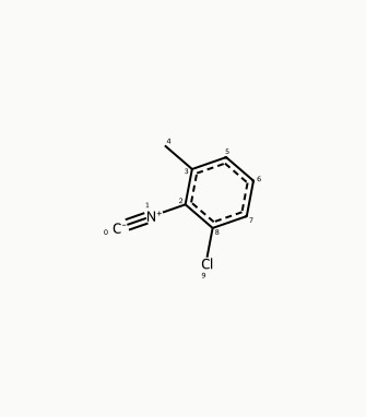 [C-]#[N+]c1c(C)cccc1Cl